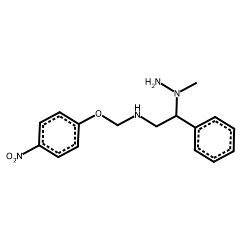 CN(N)C(CNCOc1ccc([N+](=O)[O-])cc1)c1ccccc1